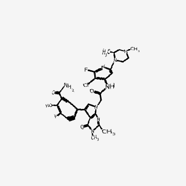 Cc1nc2c(c(C3C#CC(F)=C(O)C(C(N)=O)=C3)cn2CC(=O)Nc2cc(N3CCN(C)C[C@@H]3C)nc(F)c2Cl)c(=O)n1C